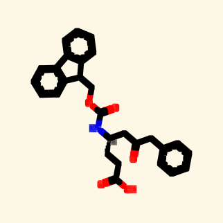 O=C(O)CC[C@@H](CC(=O)Cc1ccccc1)NC(=O)OCC1c2ccccc2-c2ccccc21